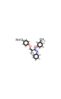 CCC(=COc1ccc(OC)cc1)C(=Nc1ccccc1)Oc1cccc(C)c1